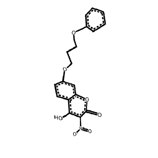 O=c1oc2cc(OCCCOc3ccccc3)ccc2c(O)c1[N+](=O)[O-]